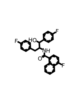 O=C(NC(Cc1ccc(F)cc1)C(O)c1ccc(F)cc1)c1ccc(F)c2ccccc12